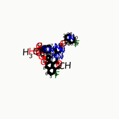 C#Cc1c(F)ccc2cc(OCOC)cc(C(=O)c3nc4nc(OC[C@@]56CCCN5C[C@H](F)C6)nc(N5CC6CC(OC)C(C5)N6C(=O)O)c4n3C3CCC3)c12